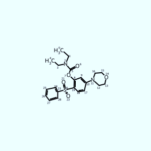 CCN(CC)C(=O)Oc1cc(N2CCOCC2)ccc1S(=O)(=O)c1ccccc1